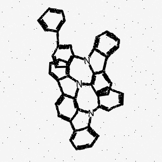 c1ccc(-c2cccc(-n3c4ccccc4c4cccc(-n5c6ccccc6c6ccc7c8ccccc8n(-c8ccccc8)c7c65)c43)c2)cc1